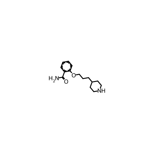 NC(=O)c1ccccc1OCCCC1CCNCC1